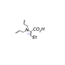 C=CCN(CC=C)/C(=C/CC)C(=O)O